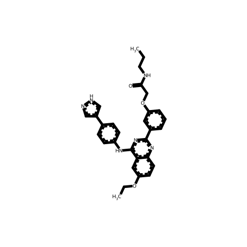 CCCNC(=O)COc1cccc(-c2nc(Nc3ccc(-c4cn[nH]c4)cc3)c3cc(OCC)ccc3n2)c1